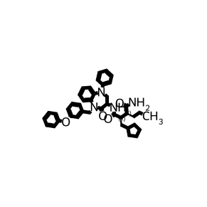 CCC[C@H](C(N)=O)[C@@H](CC1CCCC1)C(=O)NC1CN(c2ccccc2)c2ccccc2N(Cc2cccc(Oc3ccccc3)c2)C1=O